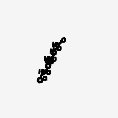 COCCNC(=O)Oc1ccc(C(=O)NS(=O)(=O)c2ccc(C(=O)NCCc3ccccc3OC)cc2)cn1